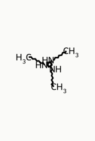 CCCCCCCCNc1cc(NCCCCCCCC)cc(NCCCCCCCC)c1